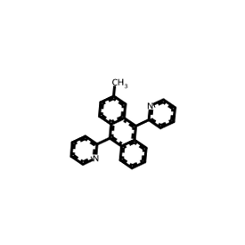 Cc1ccc2c(-c3ccccn3)c3ccccc3c(-c3ccccn3)c2c1